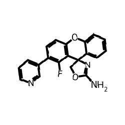 NC1=NC2(CO1)c1ccccc1Oc1ccc(-c3cccnc3)c(F)c12